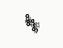 O=C(Nc1cccc(-n2c(=O)c(Cc3ccccc3)nc3cccnc32)c1)Nc1cccc2ncccc12